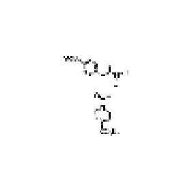 CCOC(=O)N1CCN(C(=O)CCCN(CC)C(C)Cc2ccc(OC)cc2)CC1